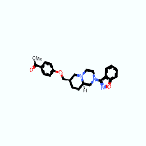 COC(=O)c1ccc(OC[C@@H]2CC[C@@H]3CN(c4noc5ccccc45)CCN3C2)cc1